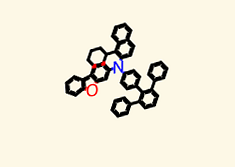 c1ccc(-c2cccc(-c3ccccc3)c2-c2ccc(N(c3ccc4c(c3)oc3ccccc34)c3ccc4ccccc4c3C3CCCCC3)cc2)cc1